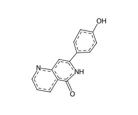 O=c1[nH]c(-c2ccc(O)cc2)cc2ncccc12